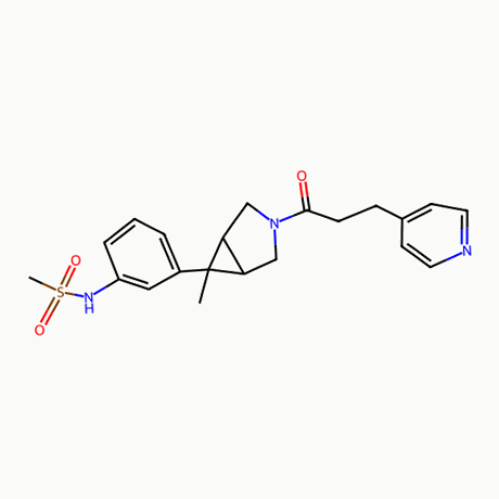 CC1(c2cccc(NS(C)(=O)=O)c2)C2CN(C(=O)CCc3ccncc3)CC21